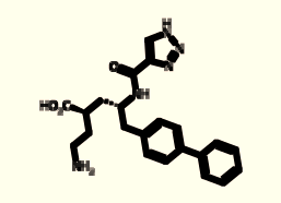 NCC[C@H](C[C@@H](Cc1ccc(-c2ccccc2)cc1)NC(=O)c1c[nH]nn1)C(=O)O